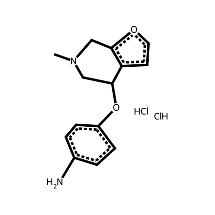 CN1Cc2occc2C(Oc2ccc(N)cc2)C1.Cl.Cl